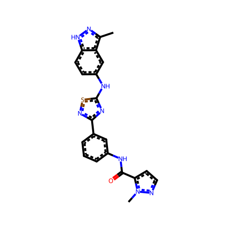 Cc1n[nH]c2ccc(Nc3nc(-c4cccc(NC(=O)c5ccnn5C)c4)ns3)cc12